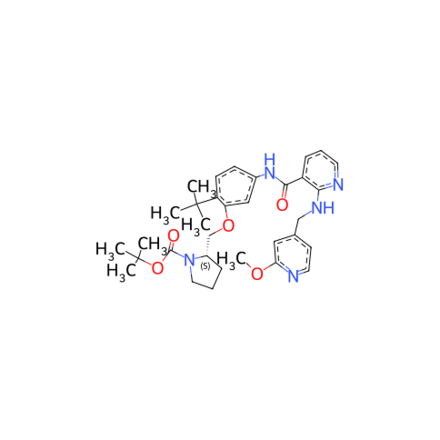 COc1cc(CNc2ncccc2C(=O)Nc2ccc(C(C)(C)C)c(OC[C@@H]3CCCN3C(=O)OC(C)(C)C)c2)ccn1